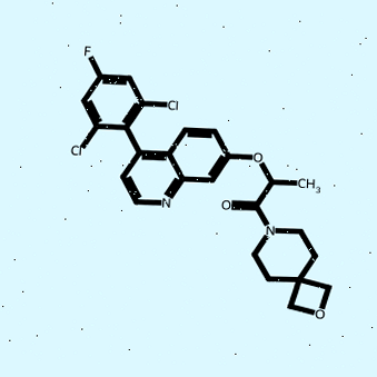 CC(Oc1ccc2c(-c3c(Cl)cc(F)cc3Cl)ccnc2c1)C(=O)N1CCC2(CC1)COC2